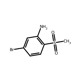 CS(=O)(=O)c1ccc(Br)cc1N